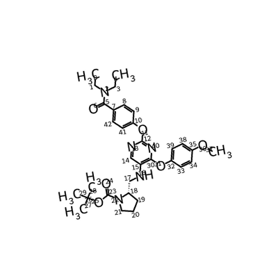 CCN(CC)C(=O)c1ccc(Oc2ncc(NC[C@@H]3CCCN3C(=O)OC(C)(C)C)c(Oc3ccc(OC)cc3)n2)cc1